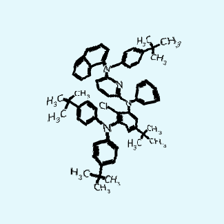 CC(C)(C)c1ccc(N(c2ccc(C(C)(C)C)cc2)c2cc(C(C)(C)C)cc(N(c3ccccc3)c3cccc(N(c4ccc(C(C)(C)C)cc4)c4cccc5ccccc45)n3)c2Cl)cc1